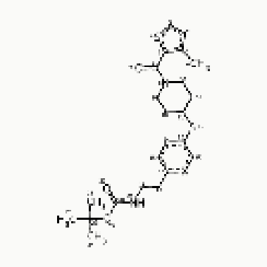 Cc1ccsc1C(=O)N1CCC(Sc2ccc(CCNC(=O)OC(C)(C)C)cc2)CC1